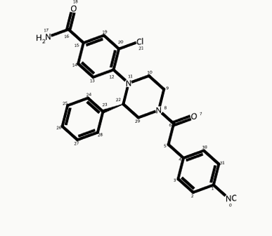 [C-]#[N+]c1ccc(CC(=O)N2CCN(c3ccc(C(N)=O)cc3Cl)[C@H](c3ccccc3)C2)cc1